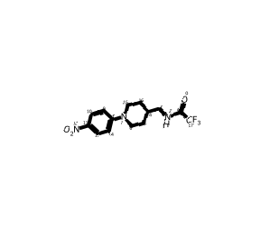 O=C(NCC1CCN(c2ccc([N+](=O)[O-])cc2)CC1)C(F)(F)F